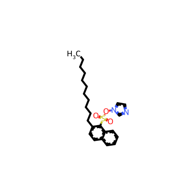 CCCCCCCCCCCc1ccc2ccccc2c1S(=O)(=O)On1ccnc1